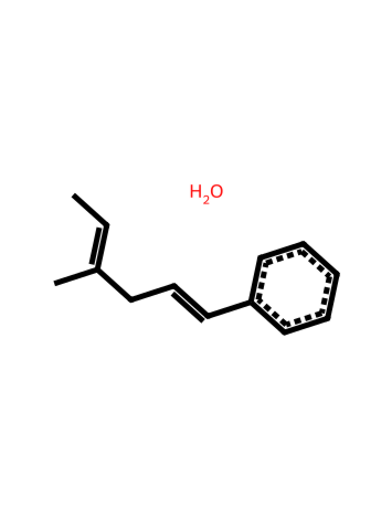 CC=C(C)CC=Cc1ccccc1.O